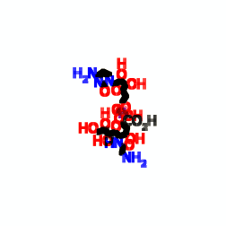 NCC(=O)NC1C(O)CC(OP(=O)(O)OCCC2OC(n3ccc(N)nc3=O)C(O)C2O)(C(=O)O)OC1[C@H](O)[C@H](O)CO